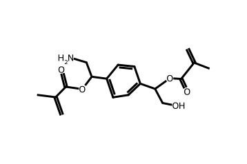 C=C(C)C(=O)OC(CN)c1ccc(C(CO)OC(=O)C(=C)C)cc1